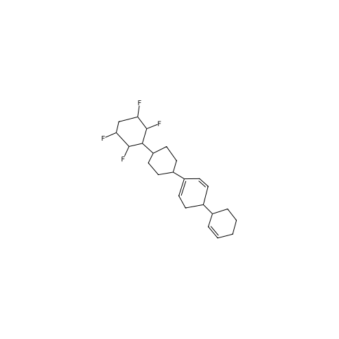 FC1CC(F)C(F)C(C2CCC(C3=CCC(C4C=CCCC4)C=C3)CC2)C1F